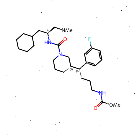 CNC[C@H](CC1CCCCC1)NC(=O)N1CCC[C@@H]([C@@H](CCCNC(=O)OC)c2cccc(F)c2)C1